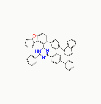 c1ccc(C2=NC(c3ccc(-c4ccccc4)cc3)=NC(c3c(-c4ccc(-c5cccc6ccccc56)cc4)ccc4oc5ccccc5c34)N2)cc1